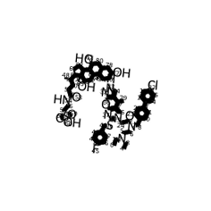 CCN(CC)CCN(Cc1ccc(-c2ccc(Cl)cc2)cc1)C(=O)Cn1cc(C(C)c2cn[nH]c2)c(=O)nc1SCc1ccc(F)cc1.C[C@H](CCC(=O)NCCS(=O)(=O)O)[C@H]1CCC2C3C(C[C@H](O)[C@@]21C)[C@@]1(C)CC[C@@H](O)CC1C[C@H]3O